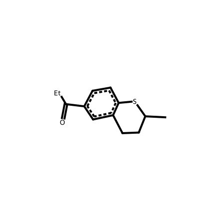 CCC(=O)c1ccc2c(c1)CCC(C)S2